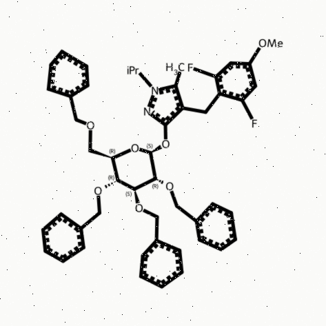 COc1cc(F)c(Cc2c(O[C@@H]3O[C@H](COCc4ccccc4)[C@@H](OCc4ccccc4)[C@H](OCc4ccccc4)[C@H]3OCc3ccccc3)nn(C(C)C)c2C)c(F)c1